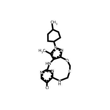 Cc1c2c(nn1C1CCC(C)CC1)OCCCNc1nc(ncc1Cl)N2